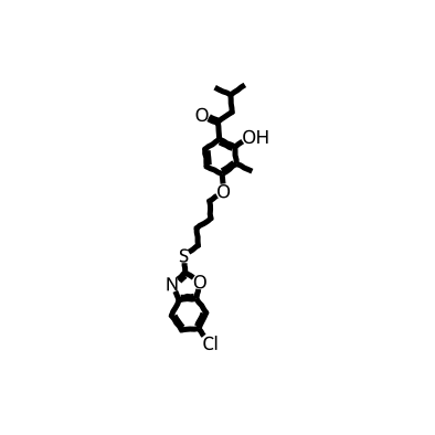 Cc1c(OCCCCSc2nc3ccc(Cl)cc3o2)ccc(C(=O)CC(C)C)c1O